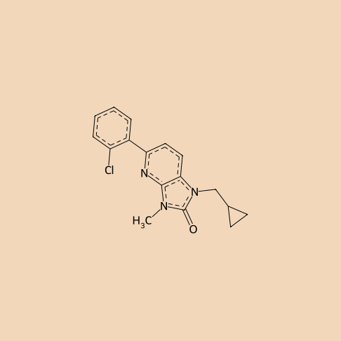 Cn1c(=O)n(CC2CC2)c2ccc(-c3ccccc3Cl)nc21